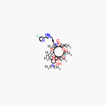 CC[C@H]1OC(=O)[C@@](C)(F)C(=O)[C@H](C)[C@@H](O[C@@H]2O[C@H](C)CC(N(C)C)C2O)[C@](C)(OC)C[C@@H](C)C(=O)[C@H](C)[C@H]2N(CC#CCn3cc(-c4cc(F)ccn4)nn3)C(=O)O[C@]12C